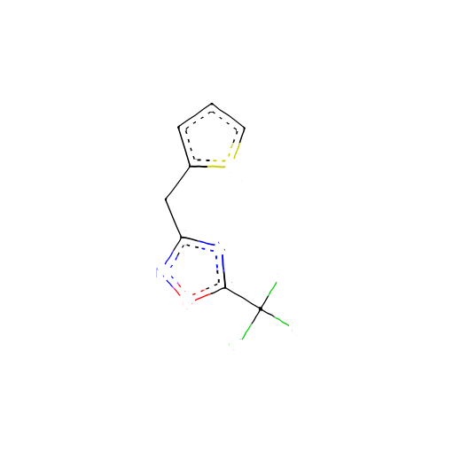 ClC(Cl)(Cl)c1nc(Cc2cccs2)no1